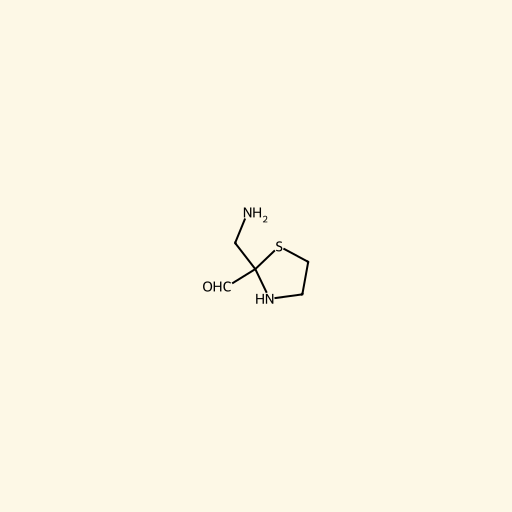 NCC1(C=O)NCCS1